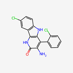 Nc1c(-c2ccccc2Cl)c2[nH]c3ccc(Cl)cc3c2[nH]c1=O